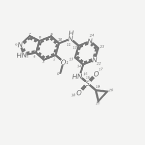 COc1cc2[nH]ncc2cc1Nc1cc(NS(=O)(=O)C2CC2)ncn1